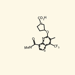 CNC(=O)c1csc2c(C(F)(F)F)c(C)c(OC3CCN(C(=O)O)C3)nc12